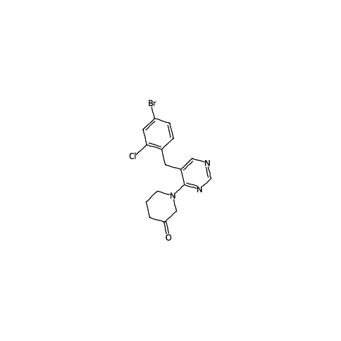 O=C1CCCN(c2ncncc2Cc2ccc(Br)cc2Cl)C1